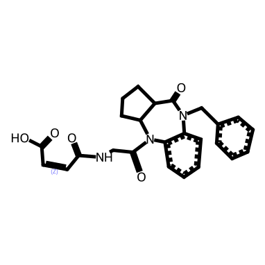 O=C(O)/C=C\C(=O)NCC(=O)N1c2ccccc2N(Cc2ccccc2)C(=O)C2CCCC21